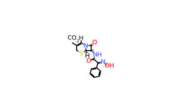 CC1=C(C(=O)O)N2C(=O)[C@@H](NC(=O)C(=NO)c3ccccc3)[C@@H]2SC1